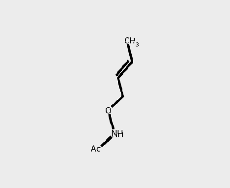 C/C=C/CONC(C)=O